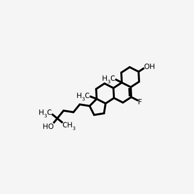 CC(C)(O)CCCC1CCC2C3CC(F)=C4CC(O)CCC4(C)C3CCC12C